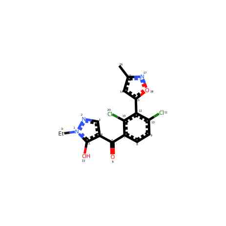 CCn1ncc(C(=O)c2ccc(Cl)c(-c3cc(C)no3)c2Cl)c1O